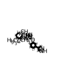 CC1CCN(C)C(C)(Nc2nnc(Oc3cccc(-c4cn[nH]c4)c3)s2)C1(C)C.Cl